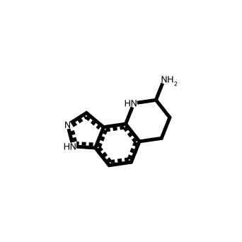 NC1CCc2ccc3[nH]ncc3c2N1